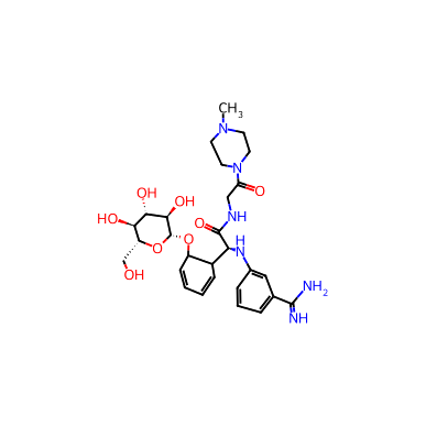 CN1CCN(C(=O)CNC(=O)[C@@H](Nc2cccc(C(=N)N)c2)C2C=CC=CC2O[C@@H]2O[C@H](CO)[C@@H](O)[C@H](O)[C@H]2O)CC1